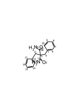 NC(=O)C(Cc1ccccc1)(Cc1ccccc1)C(N)=O